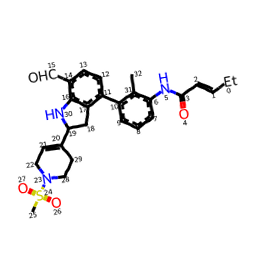 CC/C=C/C(=O)Nc1cccc(-c2ccc(C=O)c3c2CC(C2=CCN(S(C)(=O)=O)CC2)N3)c1C